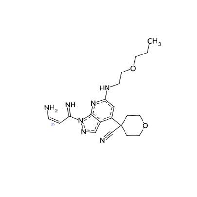 CCCOCCNc1cc(C2(C#N)CCOCC2)c2cnn(C(=N)/C=C\N)c2n1